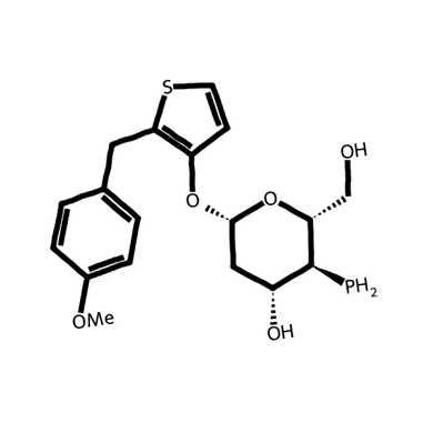 COc1ccc(Cc2sccc2O[C@H]2C[C@@H](O)[C@H](P)[C@@H](CO)O2)cc1